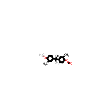 COc1ccc(C(C)(C)c2ccc(OC=O)c(C)c2)cc1C